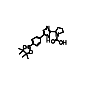 CC1(C)OB(c2ccc(-c3cnc(C4CCCN4C(=O)O)[nH]3)cc2)OC1(C)C